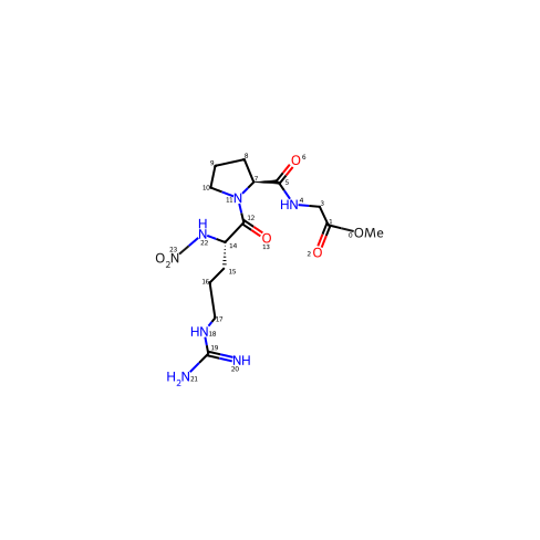 COC(=O)CNC(=O)[C@@H]1CCCN1C(=O)[C@H](CCCNC(=N)N)N[N+](=O)[O-]